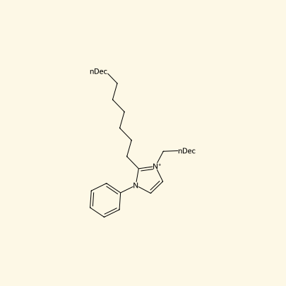 CCCCCCCCCCCCCCCCc1n(-c2ccccc2)cc[n+]1CCCCCCCCCCC